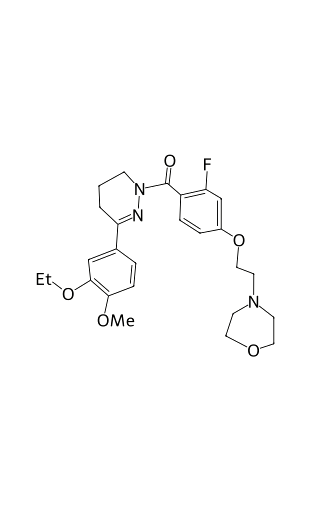 CCOc1cc(C2=NN(C(=O)c3ccc(OCCN4CCOCC4)cc3F)CCC2)ccc1OC